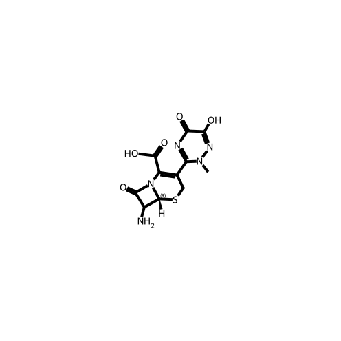 Cn1nc(O)c(=O)nc1C1=C(C(=O)O)N2C(=O)C(N)[C@H]2SC1